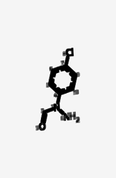 NN([C]=O)c1ccc(Cl)cc1